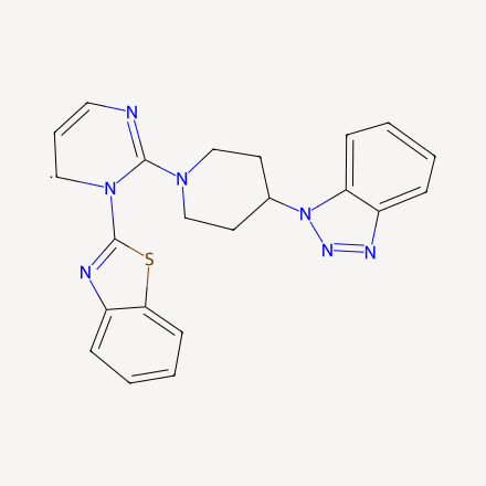 [CH]1C=CN=C(N2CCC(n3nnc4ccccc43)CC2)N1c1nc2ccccc2s1